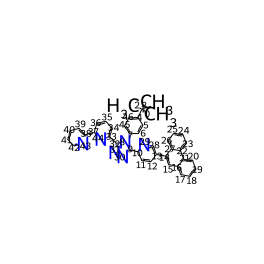 CC(C)(C)c1ccc(-n2c(-c3ccc(-c4cc5ccccc5c5ccccc45)cn3)nnc2-c2cccc(-c3ccccn3)n2)cc1